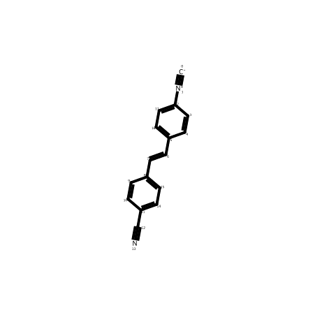 [C-]#[N+]c1ccc(C=Cc2ccc(C#N)cc2)cc1